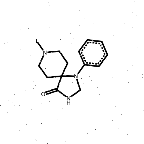 O=C1NCN(c2ccccc2)C12CCN(I)CC2